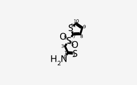 NC(=S)CS(=O)(=O)c1cccs1